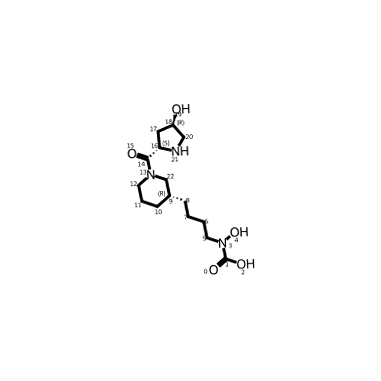 O=C(O)N(O)CCCC[C@@H]1CCCN(C(=O)[C@@H]2C[C@@H](O)CN2)C1